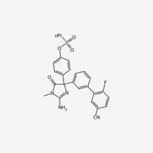 CCCS(=O)(=O)Oc1ccc(C2(c3cccc(-c4cc(C#N)ccc4F)c3)N=C(N)N(C)C2=O)cc1